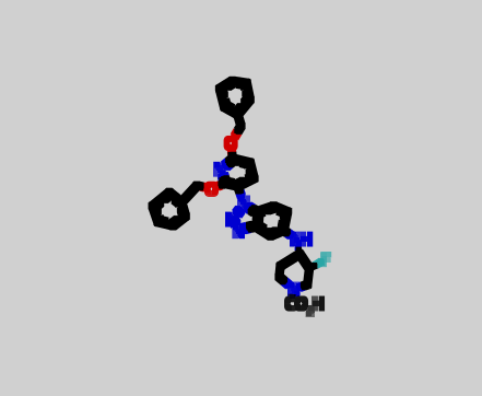 O=C(O)N1CC[C@H](Nc2ccc3c(c2)nnn3-c2ccc(OCc3ccccc3)nc2OCc2ccccc2)[C@@H](F)C1